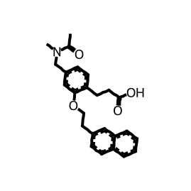 CC(=O)N(C)Cc1ccc(CCC(=O)O)c(OCCc2ccc3ccccc3c2)c1